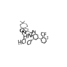 CC1(C)CCC2(CC1)CC(c1nc3cc(-c4ccccc4C(F)(F)F)cc(Cl)c3[nH]1)=NO2.Cl